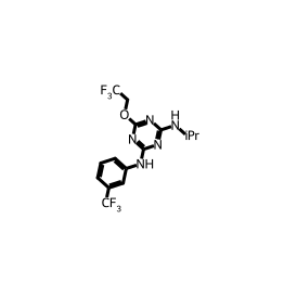 CC(C)Nc1nc(Nc2cccc(C(F)(F)F)c2)nc(OCC(F)(F)F)n1